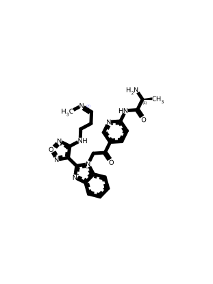 C/N=C\CCNc1nonc1-c1nc2ccccc2n1CC(=O)c1ccc(NC(=O)[C@H](C)N)nc1